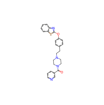 O=C(c1cccnc1)N1CCN(CCc2ccc(Oc3nc4ccccc4s3)cc2)CC1